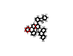 c1ccc(-c2ccccc2-c2c(-c3ccccc3)cccc2N(c2ccc(-c3cccc4c3sc3ccccc34)cc2)c2cc3ccccc3c3ccccc23)cc1